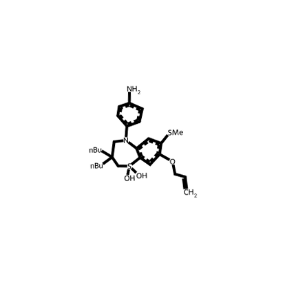 C=CCOc1cc2c(cc1SC)N(c1ccc(N)cc1)CC(CCCC)(CCCC)CS2(O)O